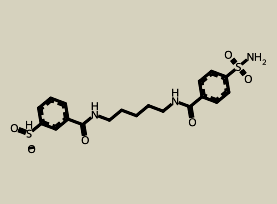 NS(=O)(=O)c1ccc(C(=O)NCCCCCNC(=O)c2cccc([SH](=O)=O)c2)cc1